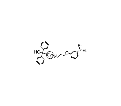 CCN(CC)c1cccc(OCCC[N+]23CCC(C(O)(c4ccccc4)c4ccccc4)(CC2)CC3)c1